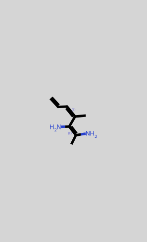 C=C/C=C(C)\C(N)=C(\C)N